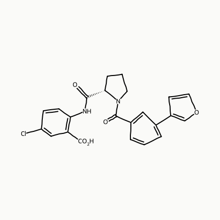 O=C(O)c1cc(Cl)ccc1NC(=O)[C@@H]1CCCN1C(=O)c1cccc(-c2ccoc2)c1